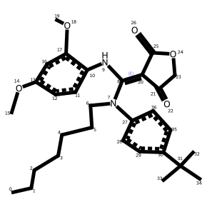 CCCCCCCN(/C(Nc1ccc(OC)cc1OC)=C1\C(=O)COC1=O)c1ccc(C(C)(C)C)cc1